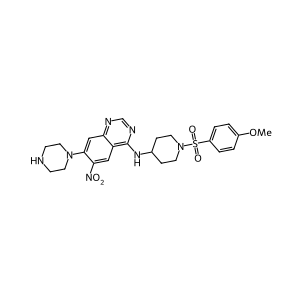 COc1ccc(S(=O)(=O)N2CCC(Nc3ncnc4cc(N5CCNCC5)c([N+](=O)[O-])cc34)CC2)cc1